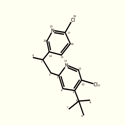 CC(Cc1cc(C(C)(C)C)c(Cl)cn1)c1ccc(Cl)nc1